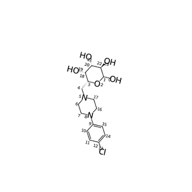 OC1O[C@H](CN2CCN(c3ccc(Cl)cc3)CC2)[C@H](O)[C@H](O)[C@H]1O